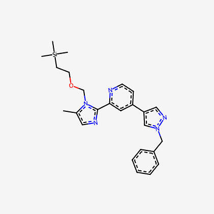 Cc1cnc(-c2cc(-c3cnn(Cc4ccccc4)c3)ccn2)n1COCC[Si](C)(C)C